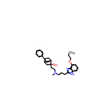 COCCOc1cccc2[nH]c(CCCN(C)CCC3(O)CC4CCC3C=C4c3ccccc3)nc12